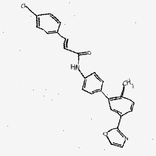 Cc1ccc(-c2ncco2)cc1-c1ccc(NC(=O)C=Cc2ccc(Cl)cc2)cc1